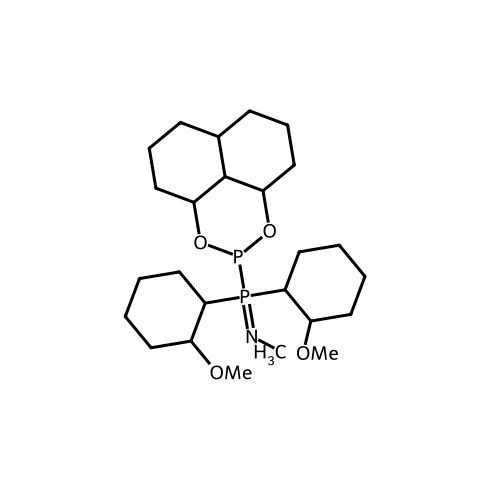 CN=P(C1CCCCC1OC)(C1CCCCC1OC)P1OC2CCCC3CCCC(O1)C32